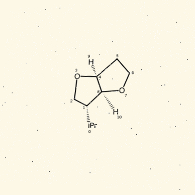 CC(C)[C@@H]1CO[C@H]2CCO[C@H]21